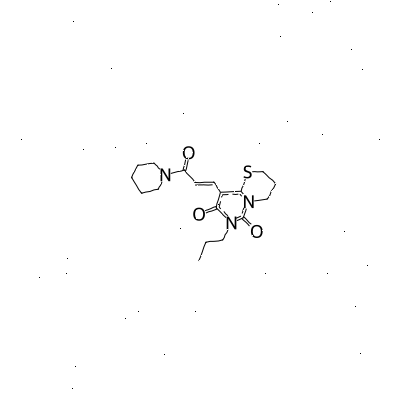 CCCn1c(=O)c(/C=C/C(=O)N2CCCCC2)c2n(c1=O)CCCS2